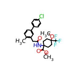 COC(=O)C1(NC(=O)Cc2cc(-c3ccc(Cl)cc3)ccc2C)CCC(OC)(C(F)(F)F)CC1